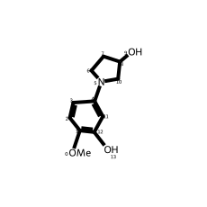 COc1ccc(N2CCC(O)C2)cc1O